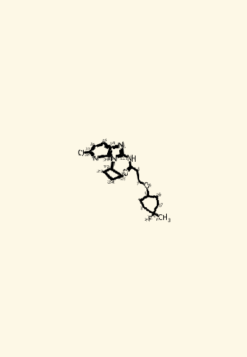 CC1(F)CCC(OCCC(=O)Nc2nc3ccc(Cl)nc3n2C2CCC2)CC1